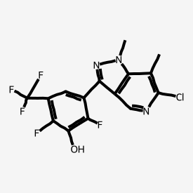 Cc1c(Cl)ncc2c(-c3cc(C(F)(F)F)c(F)c(O)c3F)nn(C)c12